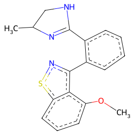 COc1cccc2snc(-c3ccccc3C3=NC(C)CN3)c12